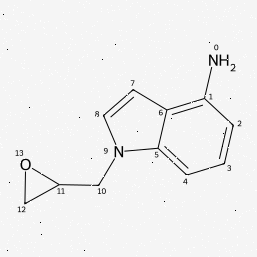 Nc1cccc2c1ccn2CC1CO1